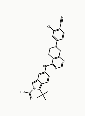 CC(C)(C)c1c2ccc(Nc3ncnc4c3CCN(c3ccc(C#N)c(Cl)c3)C4)cc2cn1C(=O)O